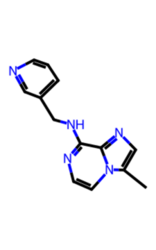 Cc1cnc2c(NCc3cccnc3)nccn12